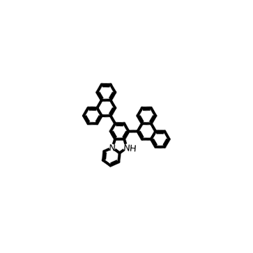 C1=CC2Nc3c(-c4cc5ccccc5c5ccccc45)cc(-c4cc5ccccc5c5ccccc45)cc3N2C=C1